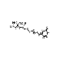 CCOC(=O)C(O)(CBr)CCCCCCOCCC1=CC(=S)CC=C1